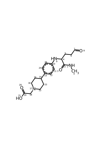 CNC(=O)C(CCC=O)Nc1ccc(C2CCN(CC(=O)O)CC2)cc1